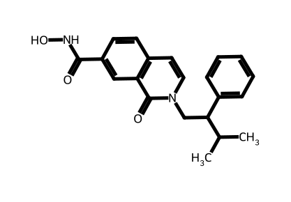 CC(C)C(Cn1ccc2ccc(C(=O)NO)cc2c1=O)c1ccccc1